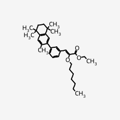 CCCCCCCOC(=Cc1cccc(-c2cc3c(cc2C)C(C)(C)CCC3(C)C)c1)C(=O)OCC